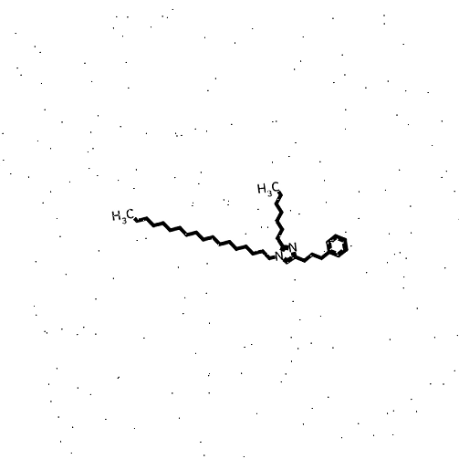 CCCCCCCCCCCCCCCCCCn1cc(CCCc2ccccc2)nc1CCCCCCC